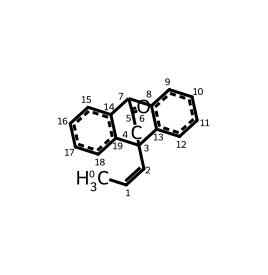 C/C=C\C12CC(=O)C(c3ccccc31)c1ccccc12